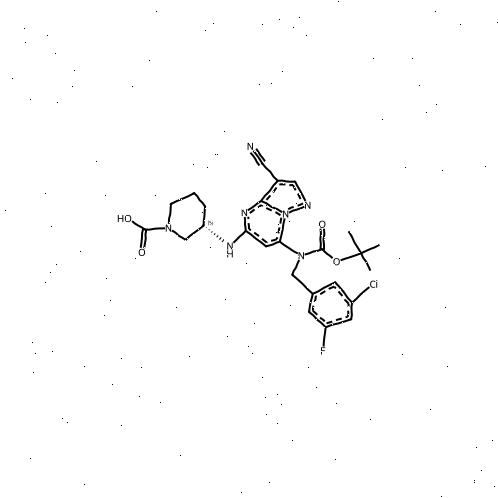 CC(C)(C)OC(=O)N(Cc1cc(F)cc(Cl)c1)c1cc(N[C@H]2CCCN(C(=O)O)C2)nc2c(C#N)cnn12